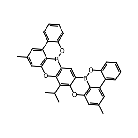 Cc1cc2c3c(c1)-c1ccccc1OB3c1cc3c(c(C(C)C)c1O2)Oc1cc(C)cc2c1B3Oc1ccccc1-2